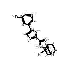 O=C(N[C@H]1CN2CCC1CC2)c1ncc(-c2cncc(F)c2)s1